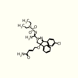 CCN(CC)S(=O)(=O)/N=C(\N)N1CC(OC/C=C/C(N)=O)(c2ccccc2)C(c2ccc(Cl)cc2)=N1